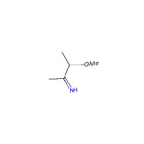 COC(C)C(C)=N